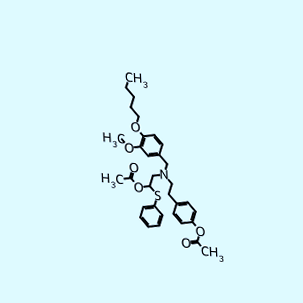 CCCCCOc1ccc(CN(CCc2ccc(OC(C)=O)cc2)CC(OC(C)=O)Sc2ccccc2)cc1OC